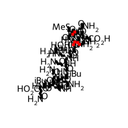 CC[C@H](C)[C@H](NC(=O)[C@H](Cc1c[nH]cn1)NC(=O)[C@H](CC(N)=O)NC(=O)[C@H](CCC(N)=O)NC(=O)[C@@H](NC(=O)[C@H](CCCCN)NC(=O)[C@H](CCCNC(=N)N)NC(=O)[C@H](CC(C)C)NC(=O)[C@H](CCCCN)NC(=O)[C@H](CC(N)=O)NC(=O)[C@H](CCSC)NC(=O)[C@H](CCC(N)=O)NC(=O)[C@H](CCC(=O)O)NC(=O)[C@@H](N)CCC(=O)O)[C@@H](C)CC)C(=O)N[C@@H](CCC(N)=O)C(=O)O